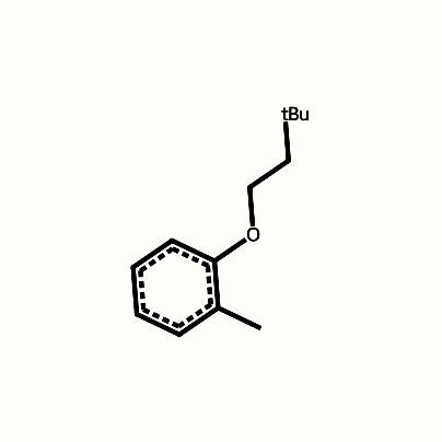 Cc1ccccc1OCCC(C)(C)C